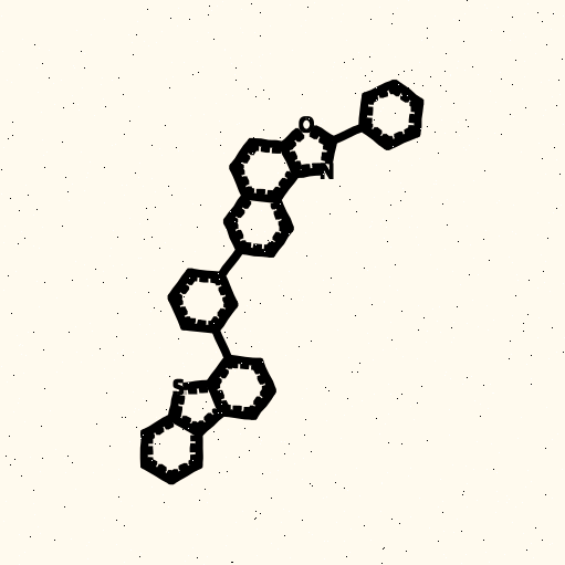 c1ccc(-c2nc3c(ccc4cc(-c5cccc(-c6cccc7c6sc6ccccc67)c5)ccc43)o2)cc1